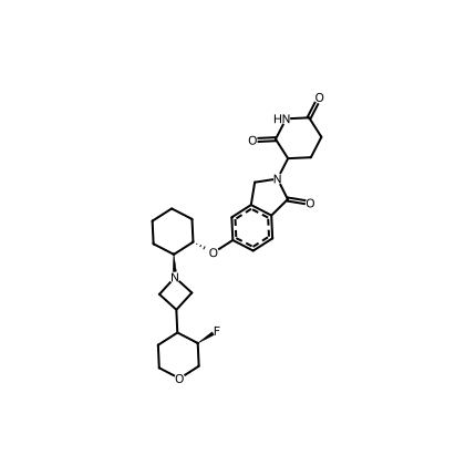 O=C1CCC(N2Cc3cc(O[C@H]4CCCC[C@@H]4N4CC(C5CCOC[C@@H]5F)C4)ccc3C2=O)C(=O)N1